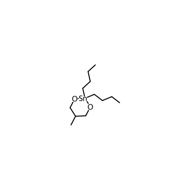 CCC[CH2][Sn]1([CH2]CCC)[O]CC(C)C[O]1